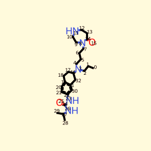 CCCN(CCCCN1CCNCCC1=O)C1CCc2ccc(NC(=O)NC(C)C)cc2C1